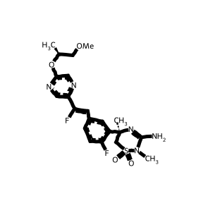 COC[C@H](C)Oc1cnc(/C(F)=C/c2ccc(F)c([C@]3(C)CS(=O)(=O)N(C)C(N)=N3)c2)cn1